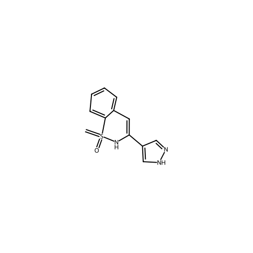 C=S1(=O)NC(c2cn[nH]c2)=Cc2ccccc21